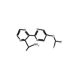 CC(N)c1nccnc1-c1ncc(OC(F)F)cn1